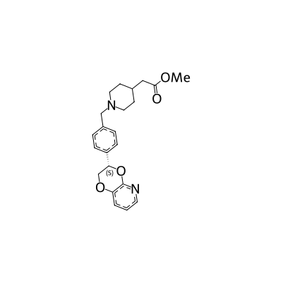 COC(=O)CC1CCN(Cc2ccc([C@H]3COc4cccnc4O3)cc2)CC1